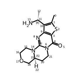 Cc1sc2c(=O)n3c(nc2c1[C@@H](C)N)N1CCOC[C@@H]1CC3